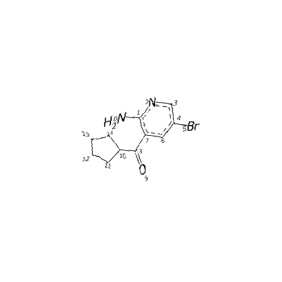 Nc1ncc(Br)cc1C(=O)C1CCCC1